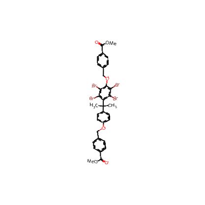 COC(=O)c1ccc(COc2ccc(C(C)(C)c3c(Br)c(Br)c(OCc4ccc(C(=O)OC)cc4)c(Br)c3Br)cc2)cc1